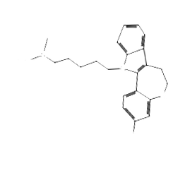 CCCCN(C)CCCCCn1c2c(c3ccccc31)CCSc1cc(O)ccc1-2